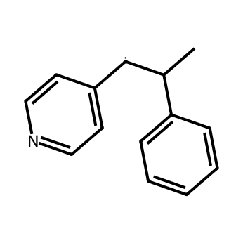 CC([CH]c1ccncc1)c1ccccc1